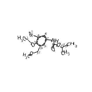 CCOc1c(Br)cc(NC(=O)OC(C)C)cc1COC